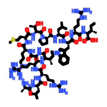 CC[C@H](C)[C@H](NC(=O)[C@H](CCCNC(=N)N)NC(=O)[C@H](Cc1c[nH]c2ccccc12)NC(=O)[C@H](CC(C)C)NC(=O)[C@@H]1CCCN1C(=O)[C@@H](NC(=O)[C@H](CCSC)NC(=O)[C@H](CCCNC(=N)N)NC(=O)[C@H](C)NC(=O)[C@@H](NC(=O)[C@H](CCCNC(=N)N)NC(=O)[C@H](CCCNC(=N)N)NC(=O)[C@H](CC(C)C)NC(=O)[C@H](C)N)[C@@H](C)CC)[C@@H](C)O)C(=O)O